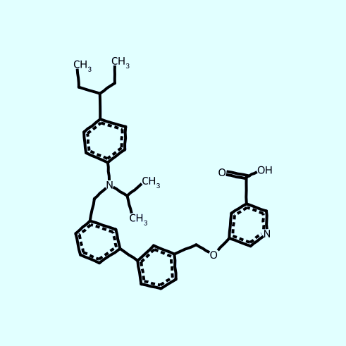 CCC(CC)c1ccc(N(Cc2cccc(-c3cccc(COc4cncc(C(=O)O)c4)c3)c2)C(C)C)cc1